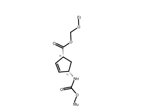 CCOCOC(=O)[C@H]1C=C[C@@H](NC(=O)OC(C)(C)C)C1